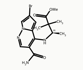 COC(=O)C(C)(C)[C@@H](C)Nc1c(C(N)=O)cnn2cc(Br)cc12